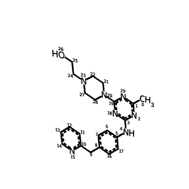 Cc1nc(Nc2ccc(Cc3ccccn3)cc2)nc(N2CCN(CCO)CC2)n1